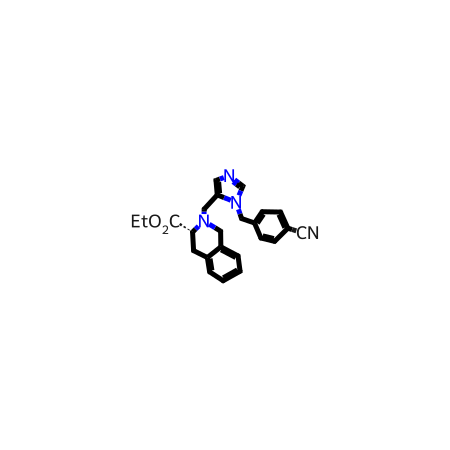 CCOC(=O)[C@H]1Cc2ccccc2CN1Cc1cncn1Cc1ccc(C#N)cc1